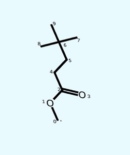 [CH2]OC(=O)CCC(C)(C)C